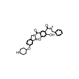 CN(Cc1ccccc1)C(=O)c1cc(C(=O)N2Cc3ccc(OC4CCNCC4)cc3C2)c(O)cc1O